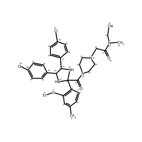 CCOc1cc(C(F)(F)F)ccc1C1(C(=O)N2CCN(CC(=O)N(C)CC#N)CC2)NC(c2ccc(Cl)cc2)C(c2ccc(Cl)cc2)N1